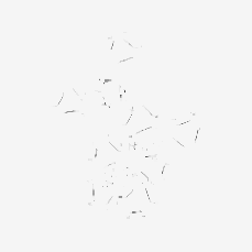 c1ccc(B2c3ccc(-c4nc(-c5ccccc5)nc(-c5ccccc5)n4)cc3N3c4ccccc4C(c4ccccc4)(c4ccccc4)c4cccc2c43)cc1